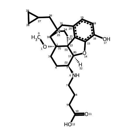 CO[C@@]12CC[C@H](NCCCC(=O)O)[C@@H]3Oc4c(O)ccc5c4[C@@]31CCN(CC1CC1)C2C5